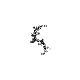 Nc1cc(NCCO)ccc1N=Nc1ccc2cc(S(=O)(=O)[O-])c(N=Nc3ccc(Nc4ccc(N=Nc5c(S(=O)(=O)[O-])cc6ccc(N=Nc7ccc(NCCO)cc7N)cc6c5O)cc4S(=O)(=O)[O-])cc3)c(O)c2c1.[Na+].[Na+].[Na+]